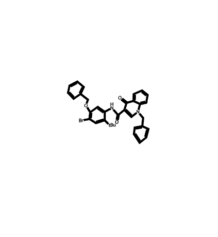 CC(C)(C)c1cc(Br)c(OCc2ccccc2)cc1NC(=O)c1cn(Cc2ccccc2)c2ccccc2c1=O